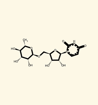 C[C@@H]1O[C@@H](OC[C@H]2O[C@@H](n3ccc(=O)[nH]c3=O)[C@H](O)[C@@H]2O)[C@H](O)[C@H](O)[C@H]1O